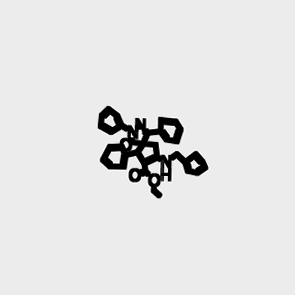 CCOC(=O)C1=C(NCc2ccccc2)CC2(C(=O)N(c3ccccc3)N=C2c2ccccc2)C1c1ccccc1